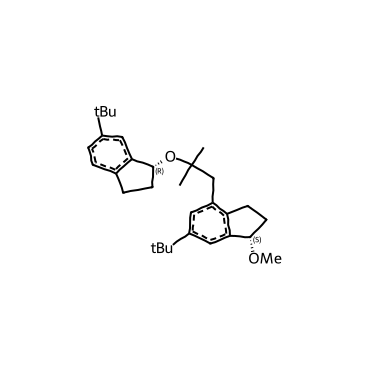 CO[C@H]1CCc2c(CC(C)(C)O[C@@H]3CCc4ccc(C(C)(C)C)cc43)cc(C(C)(C)C)cc21